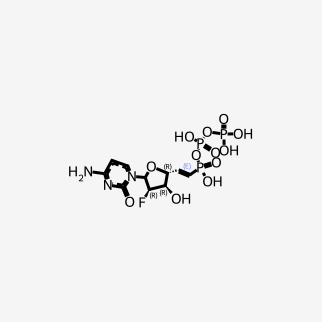 Nc1ccn(C2O[C@H](/C=C/P(=O)(O)OP(=O)(O)OP(=O)(O)O)[C@@H](O)[C@H]2F)c(=O)n1